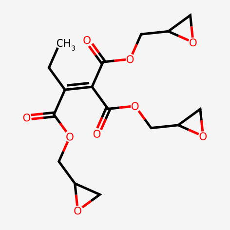 CCC(C(=O)OCC1CO1)=C(C(=O)OCC1CO1)C(=O)OCC1CO1